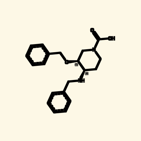 O=C(O)N1CC[C@@H](NCc2ccccc2)[C@@H](OCc2ccccc2)C1